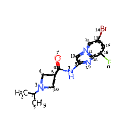 CC(C)N1CC(C(=O)Nc2cn3cc(Br)cc(F)c3n2)C1